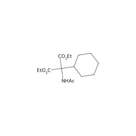 CCOC(=O)C(NC(C)=O)(C(=O)OCC)C1CCCCC1